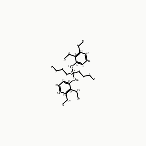 CCC[CH2][Sn]([CH2]CCC)([O]c1cccc(CC)c1CC)[O]c1cccc(CC)c1CC